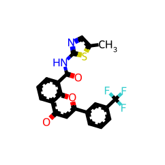 Cc1cnc(NC(=O)c2cccc3c(=O)cc(-c4cccc(C(F)(F)F)c4)oc23)s1